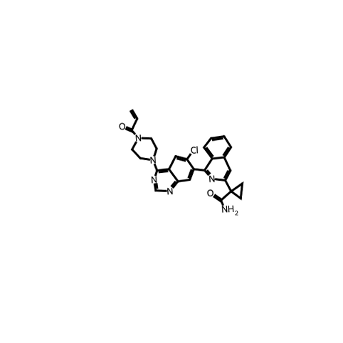 C=CC(=O)N1CCN(c2ncnc3cc(-c4nc(C5(C(N)=O)CC5)cc5ccccc45)c(Cl)cc23)CC1